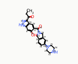 CCC(=O)c1n[nH]c2cc(O)c(C(=O)N3Cc4ccc(N5CCNCC5)cc4C3)cc12